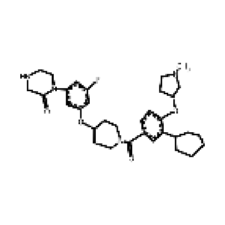 CN1CC[C@H](Oc2ccc(C(=O)N3CCC(Oc4cc(F)cc(N5CCNCC5=O)c4)CC3)cc2C2CCCCC2)C1